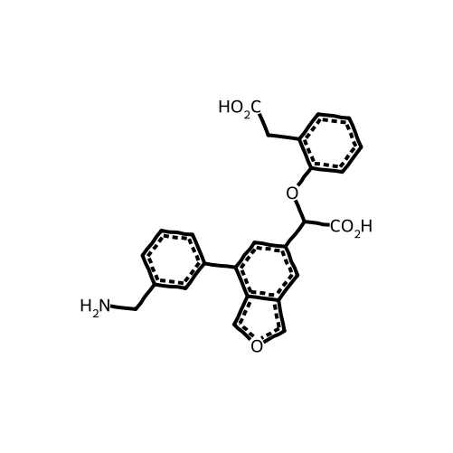 NCc1cccc(-c2cc(C(Oc3ccccc3CC(=O)O)C(=O)O)cc3cocc23)c1